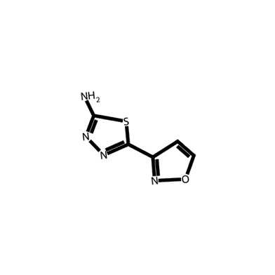 Nc1nnc(-c2ccon2)s1